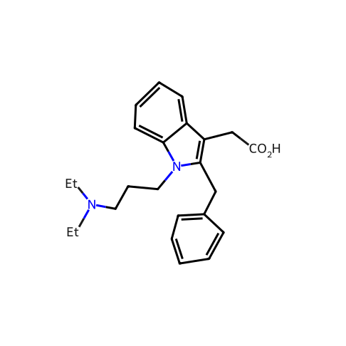 CCN(CC)CCCn1c(Cc2ccccc2)c(CC(=O)O)c2ccccc21